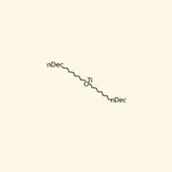 CCCCCCCCCCCCCCCCCCOCCCCCCCCCCCCCCCCCC.[Ti]